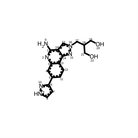 Nc1nc2cc(-c3cc[nH]n3)ccc2c2nn(CC(CO)CO)cc12